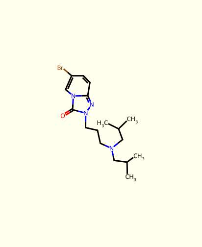 CC(C)CN(CCCn1nc2ccc(Br)cn2c1=O)CC(C)C